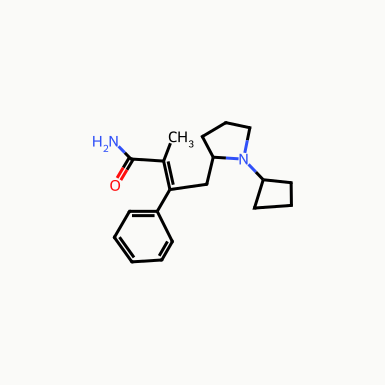 CC(C(N)=O)=C(CC1CCCN1C1CCC1)c1ccccc1